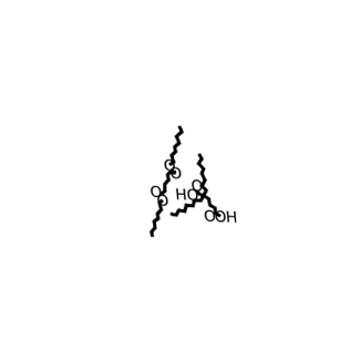 CCCCCCCCC(CCCCCCCC)(CCCC(=O)O)C(=O)O.CCCCCCCCOC(=O)CCCCC(=O)OCCCCCCCC